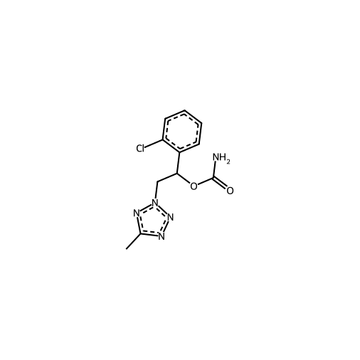 Cc1nnn(CC(OC(N)=O)c2ccccc2Cl)n1